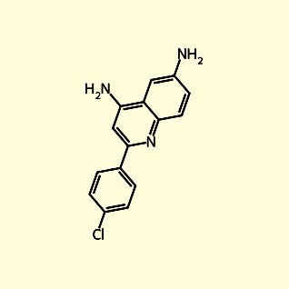 Nc1ccc2nc(-c3ccc(Cl)cc3)cc(N)c2c1